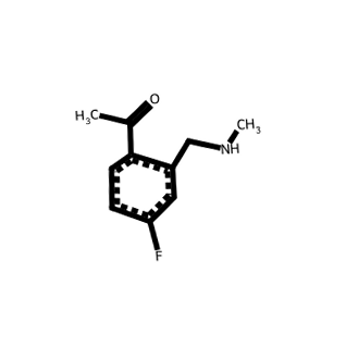 CNCc1cc(F)ccc1C(C)=O